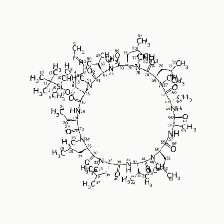 C/C=C/C[C@@H](C)[C@@H](O[Si](C)(C)C(C)(C)C)[C@@H]1C(=O)N[C@H](CC)C(=O)N(C)[C@H](CCC)C(=O)N(C)[C@@H](CC(C)C)C(=O)N[C@H](C(C)C)C(=O)N(C)[C@H](CC(C)C)C(=O)N[C@H](C)C(=O)N[C@@H](C)C(=O)N(C)[C@H](CC(C)C)C(=O)N(C)[C@H](CC(C)C)C(=O)N(C)[C@H](C(C)C)C(=O)N1C